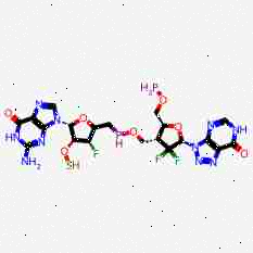 Nc1nc2c(ncn2[C@@H]2OC(CPOC[C@@H]3[C@@H](COP)O[C@@H](n4nnc5c(=O)[nH]cnc54)C3(F)F)[C@@H](F)[C@H]2OS)c(=O)[nH]1